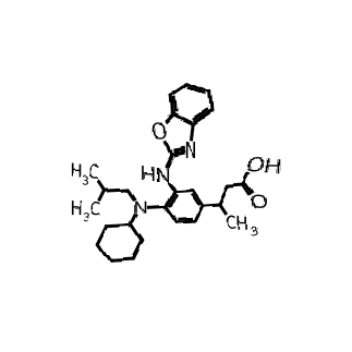 CC(C)CN(c1ccc(C(C)CC(=O)O)cc1Nc1nc2ccccc2o1)C1CCCCC1